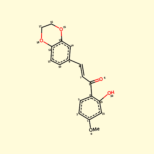 COc1ccc(C(=O)/C=C/c2ccc3c(c2)OCCO3)c(O)c1